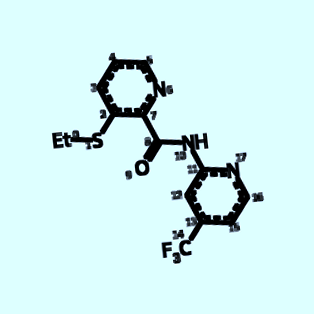 CCSc1cccnc1C(=O)Nc1cc(C(F)(F)F)ccn1